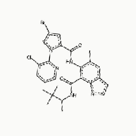 Cc1cc2ccnn2c(C(=O)NC(C)C(C)(C)C)c1NC(=O)c1cc(Br)nn1-c1ncccc1Cl